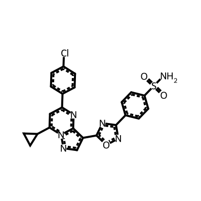 NS(=O)(=O)c1ccc(-c2noc(-c3cnn4c(C5CC5)cc(-c5ccc(Cl)cc5)nc34)n2)cc1